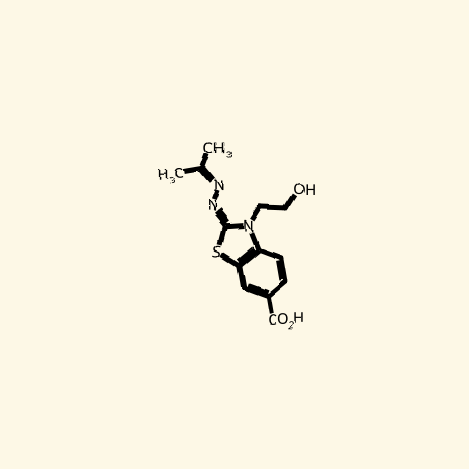 CC(C)=NN=c1sc2cc(C(=O)O)ccc2n1CCO